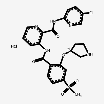 CS(=O)(=O)c1ccc(C(=O)Nc2cccnc2C(=O)Nc2ccc(Cl)cn2)c(O[C@H]2CCNC2)c1.Cl